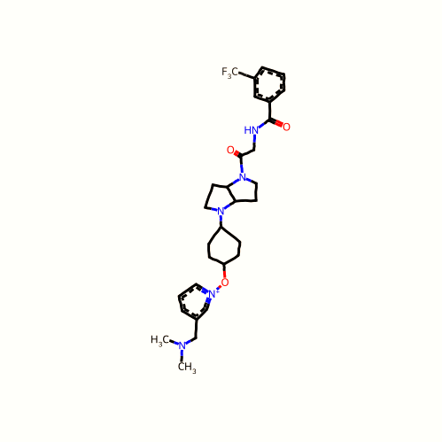 CN(C)Cc1ccc[n+](OC2CCC(N3CCC4C3CCN4C(=O)CNC(=O)c3cccc(C(F)(F)F)c3)CC2)c1